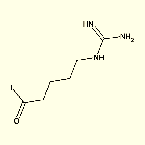 N=C(N)NCCCCC(=O)I